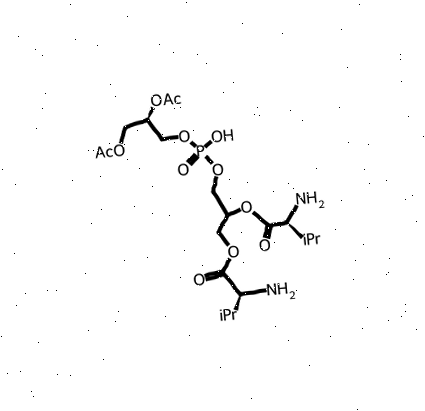 CC(=O)OC[C@H](COP(=O)(O)OCC(COC(=O)[C@@H](N)C(C)C)OC(=O)[C@@H](N)C(C)C)OC(C)=O